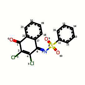 O=C1C(Cl)=C(Cl)/C(=N/S(=O)(=O)c2ccccc2)c2ccccc21